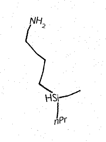 CCC[SiH](C)CCCN